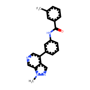 Cn1ncc2c(-c3cccc(NC(=O)c4cccc(C(F)(F)F)c4)c3)cncc21